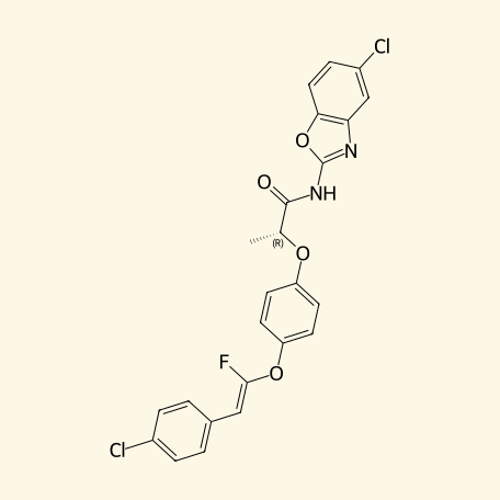 C[C@@H](Oc1ccc(OC(F)=Cc2ccc(Cl)cc2)cc1)C(=O)Nc1nc2cc(Cl)ccc2o1